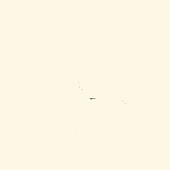 O=C1C[C@H](C(=O)N[C@@H](c2ccc(OC(F)(F)F)cc2)c2cccc(Cl)c2)CN1